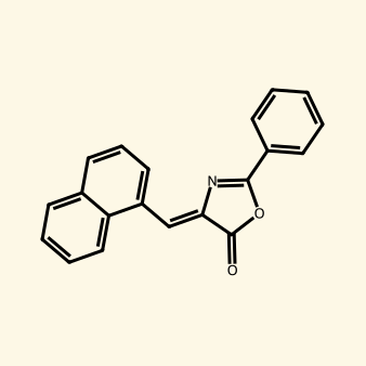 O=C1OC(c2ccccc2)=N/C1=C\c1cccc2ccccc12